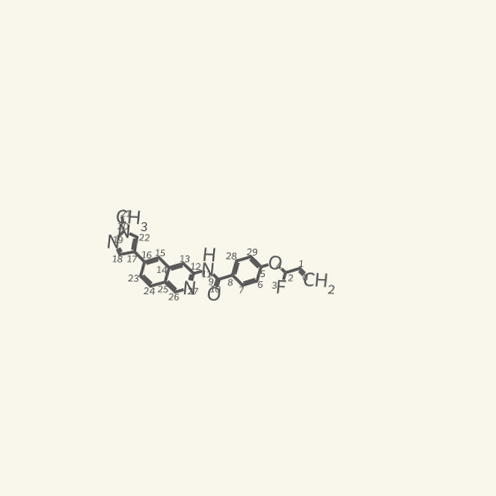 C=CC(F)Oc1ccc(C(=O)Nc2cc3cc(-c4cnn(C)c4)ccc3cn2)cc1